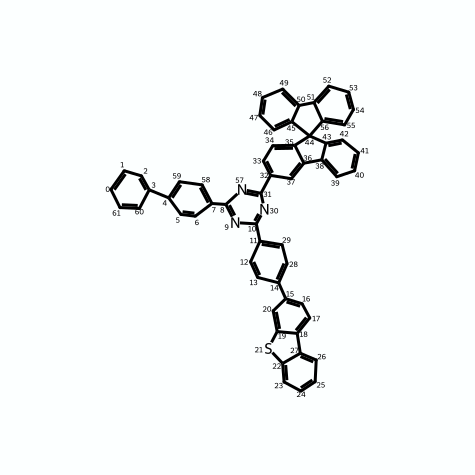 c1ccc(-c2ccc(-c3nc(-c4ccc(-c5ccc6c(c5)sc5ccccc56)cc4)nc(-c4ccc5c(c4)-c4ccccc4C54c5ccccc5-c5ccccc54)n3)cc2)cc1